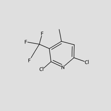 Cc1cc(Cl)nc(Cl)c1C(F)(F)F